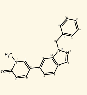 Cn1cc(-c2ccc3cnn(Cc4ccccc4)c3c2)ccc1=O